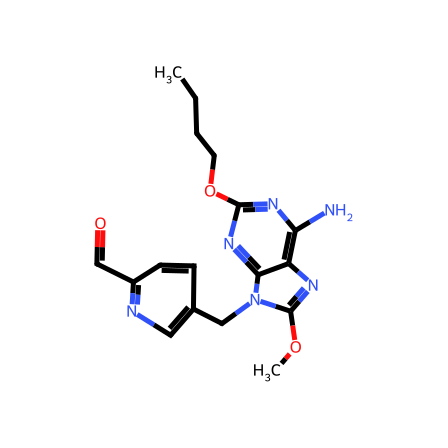 CCCCOc1nc(N)c2nc(OC)n(Cc3ccc(C=O)nc3)c2n1